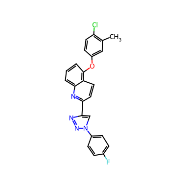 Cc1cc(Oc2cccc3nc(-c4cn(-c5ccc(F)cc5)nn4)ccc23)ccc1Cl